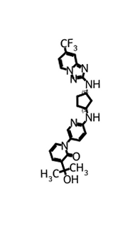 CC(C)(O)c1cccn(-c2ccc(N[C@H]3CC[C@H](Nc4nc5cc(C(F)(F)F)ccn5n4)C3)nc2)c1=O